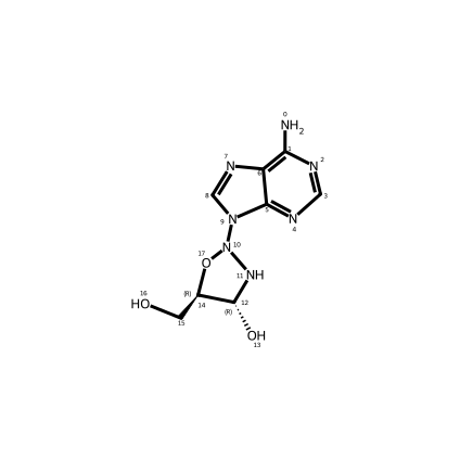 Nc1ncnc2c1ncn2N1N[C@H](O)[C@@H](CO)O1